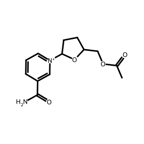 CC(=O)OCC1CCC([n+]2cccc(C(N)=O)c2)O1